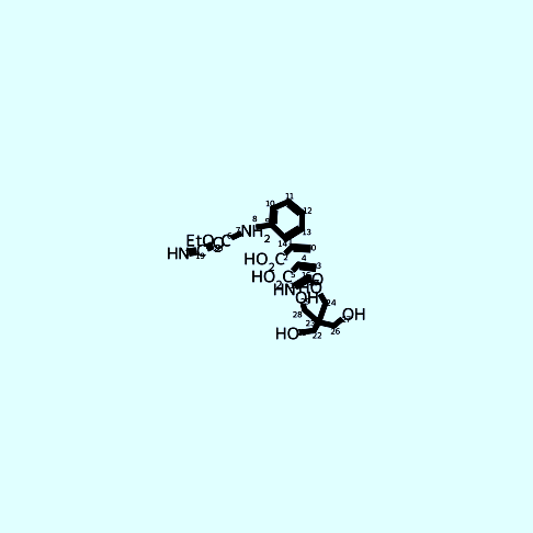 C=CC(=O)O.C=CC(=O)O.CCOC(N)=O.Cc1ccccc1.N=C=O.N=C=O.OCC(CO)(CO)CO